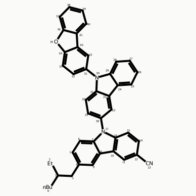 CCCCC(CC)Cc1ccc2c(c1)c1cc(C#N)ccc1n2-c1ccc2c(c1)c1ccccc1n2-c1ccc2oc3ccccc3c2c1